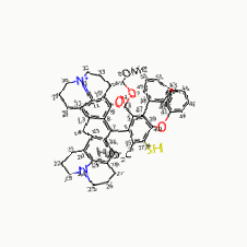 COCOC(=O)c1c(C2=c3cc4c5c(c3Cc3c2cc2c6c3CCCN6CCC2)CCC[N+]=5CCC4)c(C(=O)O)c(S)c(Oc2ccccc2)c1-c1ccccc1